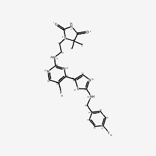 CC1(C)C(=O)NC(=O)N1CCNc1ncc(F)c(-c2cnc(NCc3ccc(F)cc3)s2)n1